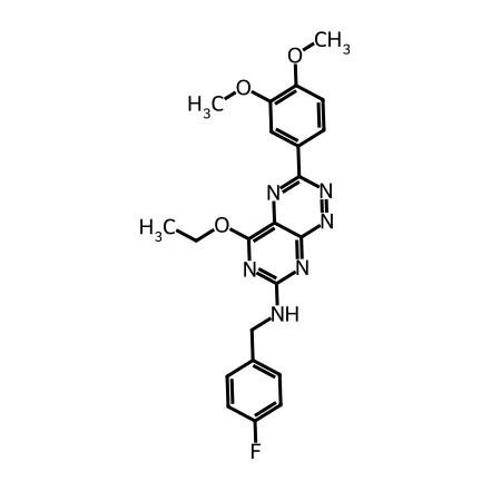 CCOc1nc(NCc2ccc(F)cc2)nc2nnc(-c3ccc(OC)c(OC)c3)nc12